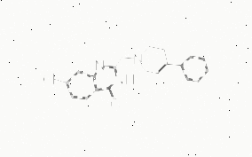 O=c1[nH]c(CN2CC=C(c3ccccc3)CC2)nc2cc(Cl)ccc12